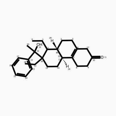 CCC1[C@@H]2CCC3=C(CCC(=O)C3)[C@H]2CCC1(CC)C(C)(O)c1ccccc1